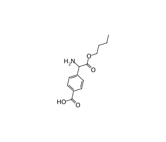 CCCCOC(=O)C(N)c1ccc(C(=O)O)cc1